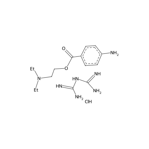 CCN(CC)CCOC(=O)c1ccc(N)cc1.Cl.N=C(N)NC(=N)N